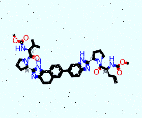 C=CC[C@H](NC(=O)OC)C(=O)N1CCC[C@H]1c1nc2ccc(-c3ccc4c(c3)CCc3nc([C@@H]5CCCN5C(=O)[C@@H](NC(=O)OC)C(C)C)[nH]c3-4)cc2[nH]1